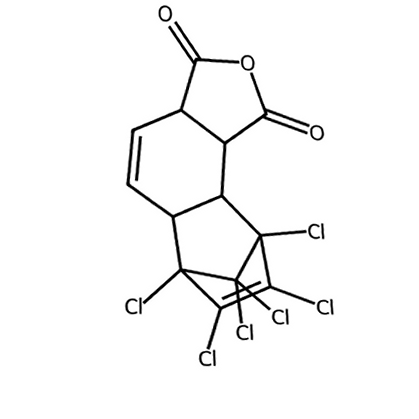 O=C1OC(=O)C2C1C=CC1C2C2(Cl)C(Cl)=C(Cl)C1(Cl)C2(Cl)Cl